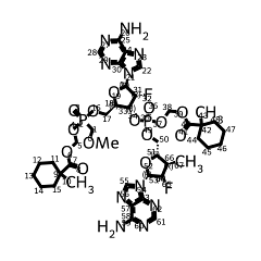 COCP(=O)(OCOC(=O)C1(C)CCCCC1)OC[C@H]1O[C@@H](n2cnc3c(N)ncnc32)[C@H](F)[C@@H]1OP(=O)(OCOC(=O)C1(C)CCCCC1)OC[C@H]1O[C@@H](n2cnc3c(N)ncnc32)[C@H](F)[C@@H]1C